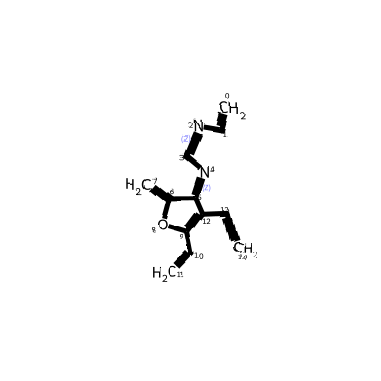 C=C/N=C\N=C1/C(=C)OC(C=C)=C1C=C